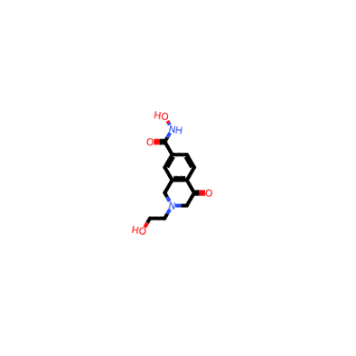 O=C(NO)c1ccc2c(c1)CN(CCO)CC2=O